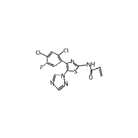 C=CC(=O)Nc1nc(-c2cc(F)c(Cl)cc2Cl)c(-n2cncn2)s1